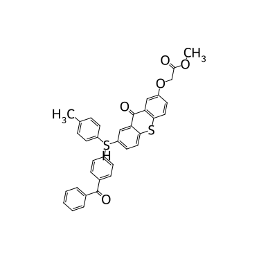 COC(=O)COc1ccc2sc3ccc([SH](c4ccc(C)cc4)c4ccc(C(=O)c5ccccc5)cc4)cc3c(=O)c2c1